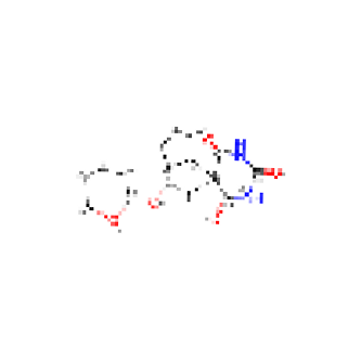 O=C1NC(=O)C(CCOC2CCCCO2)(C2CCCC2)C(=O)N1